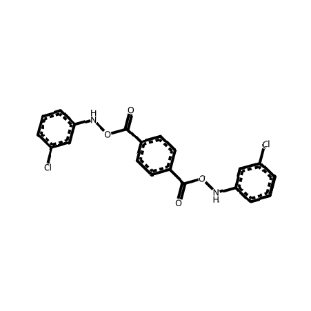 O=C(ONc1cccc(Cl)c1)c1ccc(C(=O)ONc2cccc(Cl)c2)cc1